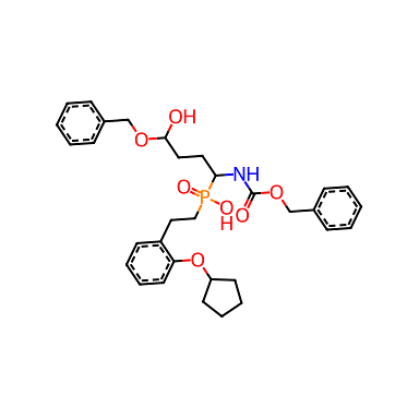 O=C(NC(CCC(O)OCc1ccccc1)P(=O)(O)CCc1ccccc1OC1CCCC1)OCc1ccccc1